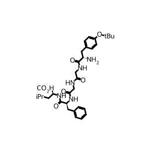 CC(C)C[C@H](NC(=O)[C@H](Cc1ccccc1)NC(=O)CNC(=O)CNC(=O)[C@@H](N)Cc1ccc(OC(C)(C)C)cc1)C(=O)O